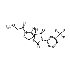 COCC(=O)N1CC2C[C@@H]1[C@@H]1C(=O)N(c3cccc(C(F)(F)F)c3)C(=O)N21